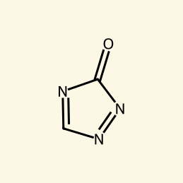 O=C1N=CN=N1